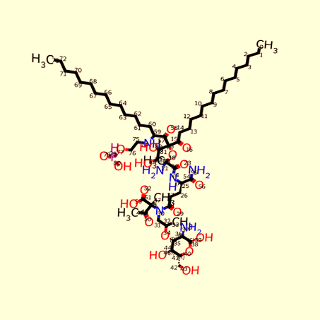 CCCCCCCCCCCCCCCC(=O)[C@@](O[C@@](C)(N)C(=O)N[C@H](CCC(=O)N(CC(C)O[C@@H]1[C@@H](N)[C@@H](O)O[C@H](CO)[C@H]1O)[C@](C)(C(C)=O)C(=O)O)C(N)=O)(C(=O)C(CCCCCCCCCCCCCC)NCCO[PH](=O)O)[C@@H](O)CO